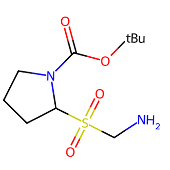 CC(C)(C)OC(=O)N1CCCC1S(=O)(=O)CN